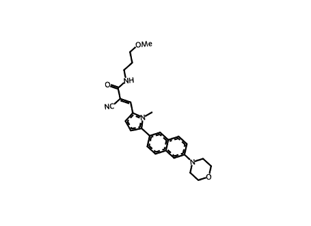 COCCCNC(=O)/C(C#N)=C/c1ccc(-c2ccc3cc(N4CCOCC4)ccc3c2)n1C